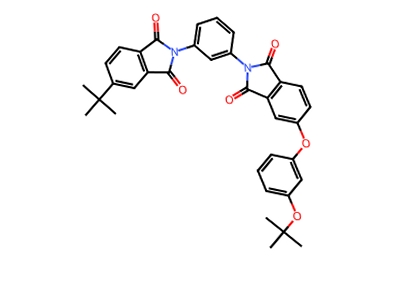 CC(C)(C)Oc1cccc(Oc2ccc3c(c2)C(=O)N(c2cccc(N4C(=O)c5ccc(C(C)(C)C)cc5C4=O)c2)C3=O)c1